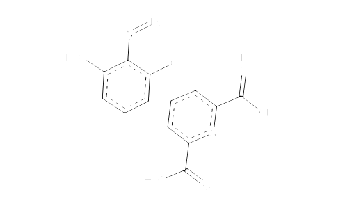 CC(=O)c1cccc(C(C)=O)n1.Cc1cccc(C)c1[N]=[Fe].Cl